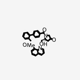 COc1cccc2cccnc12.Cc1ccccc1-c1ccc(C(=O)N2CC(=O)C[C@H]2CO)cc1